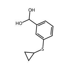 OC(O)c1cccc(SC2CC2)c1